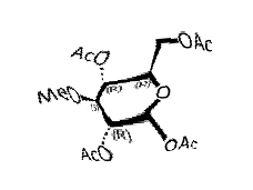 CO[C@H]1[C@H](OC(C)=O)[C@@H](COC(C)=O)OC(OC(C)=O)[C@@H]1OC(C)=O